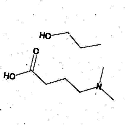 CCCO.CN(C)CCCC(=O)O